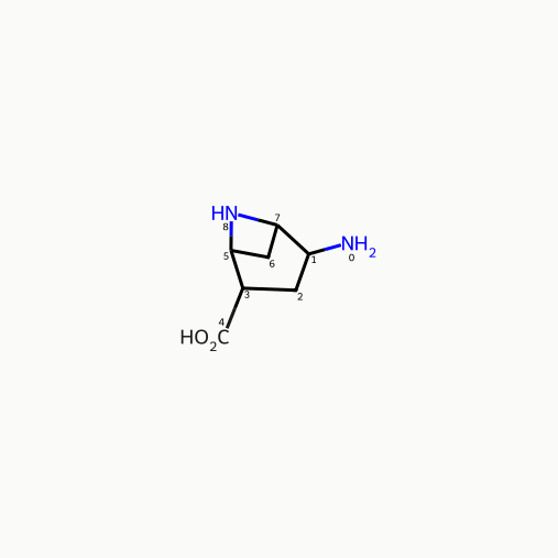 NC1CC(C(=O)O)C2CC1N2